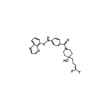 O=C(c1ccc(NSc2cccc3nccnc23)cc1)N1CCC(O)(CCC=C(F)F)CC1